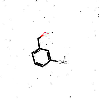 CC(=O)Oc1cccc([CH]O)c1